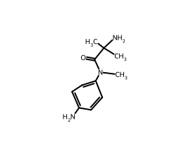 CN(C(=O)C(C)(C)N)c1ccc(N)cc1